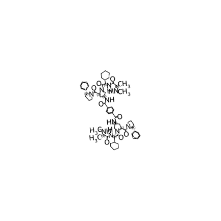 CN[C@@H](C)C(=O)N[C@H](C(=O)N1C[C@@H](NC(=O)c2ccc(C(=O)N[C@H]3C[C@@H](C(=O)N4CCC[C@@H]4c4ccccc4)N(C(=O)[C@@H](NC(=O)[C@H](C)NC)C4CCCCC4)C3)cc2)C[C@H]1C(=O)N1CCC[C@@H]1c1ccccc1)C1CCCCC1